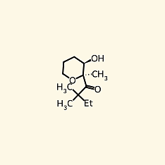 CCC(C)(C)C(=O)[C@@]1(C)OCCC[C@H]1O